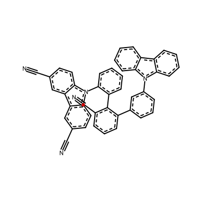 N#Cc1ccc2c(c1)c1cc(C#N)ccc1n2-c1ccccc1-c1c(C#N)cccc1-c1cccc(-n2c3ccccc3c3ccccc32)c1